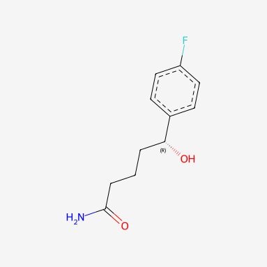 NC(=O)CCC[C@@H](O)c1ccc(F)cc1